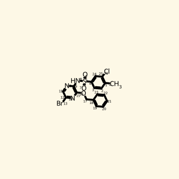 Cc1ccc(S(=O)(=O)Nc2ncc(Br)nc2OCc2ccccc2)cc1Cl